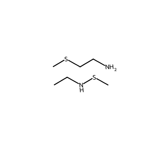 CCNSC.CSCCN